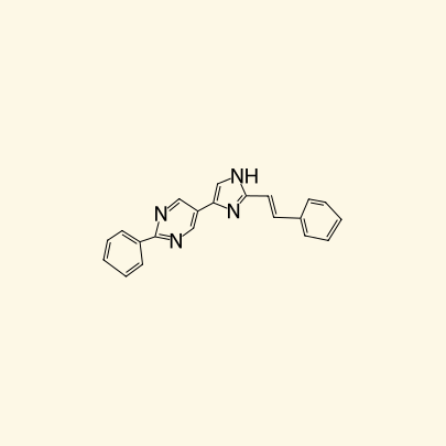 C(=Cc1nc(-c2cnc(-c3ccccc3)nc2)c[nH]1)c1ccccc1